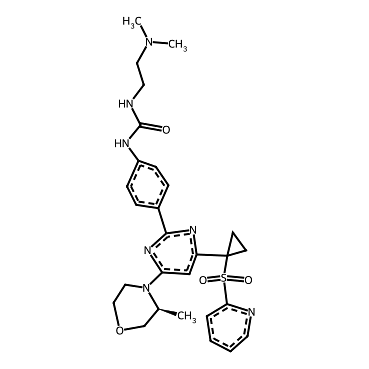 C[C@H]1COCCN1c1cc(C2(S(=O)(=O)c3ccccn3)CC2)nc(-c2ccc(NC(=O)NCCN(C)C)cc2)n1